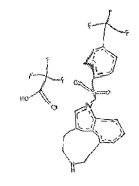 O=C(O)C(F)(F)F.O=S(=O)(c1ccc(C(F)(F)F)cc1)n1cc2c3c(cccc31)CNCC2